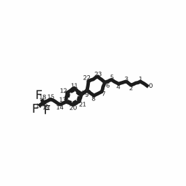 CCCCCCC1CCC(c2ccc(CCC(F)(F)F)cc2)CC1